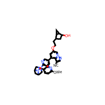 COc1ccc(CN2C3CC2CN(c2ccc(-c4cc(OCCC5CC(O)C6CC56)cn5ncc(C#N)c45)cn2)C3)cn1